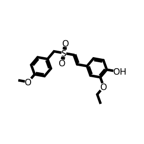 CCOc1cc(/C=C/S(=O)(=O)Cc2ccc(OC)cc2)ccc1O